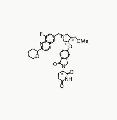 COC[C@@H]1CN(Cc2cc(F)c3nc(C4CCCCO4)ccc3c2)C[C@H]1Oc1ccc2c(c1)CN([C@H]1CCC(=O)NC1=O)C2=O